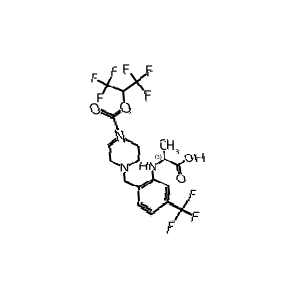 C[C@H](Nc1cc(C(F)(F)F)ccc1CN1CCN(C(=O)OC(C(F)(F)F)C(F)(F)F)CC1)C(=O)O